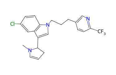 CN1C=CCC1c1cn(CCCc2ccc(C(F)(F)F)nc2)c2ccc(Cl)cc12